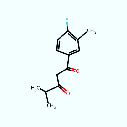 Cc1cc(C(=O)CC(=O)C(C)C)ccc1F